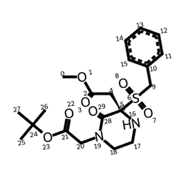 COC(=O)C[C@@]1(S(=O)(=O)Cc2ccccc2)NCCN(CC(=O)OC(C)(C)C)C1=O